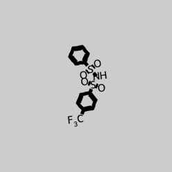 O=S(=O)(NS(=O)(=O)c1ccc(C(F)(F)F)cc1)c1ccccc1